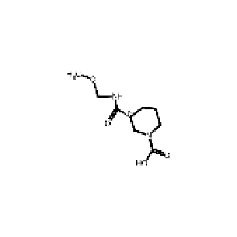 COCNC(=O)[C@H]1CCCN(C(=O)O)C1